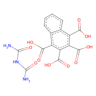 NC(=O)NC(N)=O.O=C(O)c1c(C(=O)O)c(C(=O)O)c2ccccc2c1C(=O)O